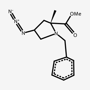 COC(=O)[C@@]1(C)CC(N=[N+]=[N-])CN1Cc1ccccc1